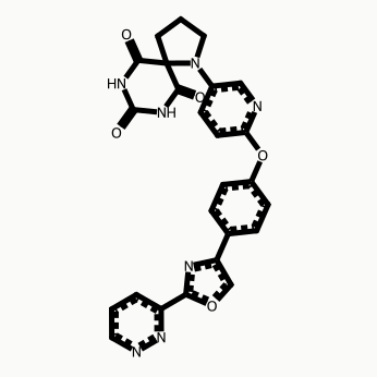 O=C1NC(=O)C2(CCCN2c2ccc(Oc3ccc(-c4coc(-c5cccnn5)n4)cc3)nc2)C(=O)N1